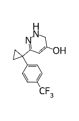 OC1=CC(C2(c3ccc(C(F)(F)F)cc3)CC2)=NNC1